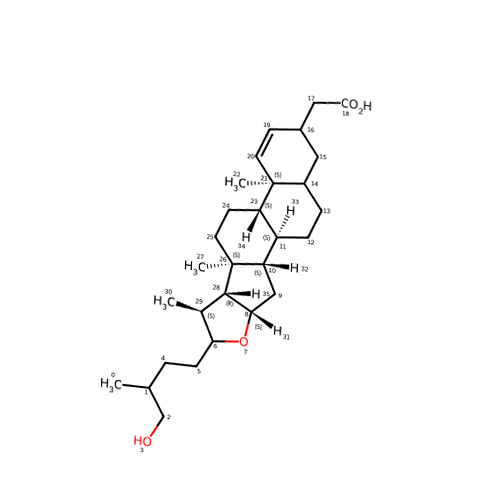 CC(CO)CCC1O[C@H]2C[C@H]3[C@@H]4CCC5CC(CC(=O)O)C=C[C@]5(C)[C@H]4CC[C@]3(C)[C@H]2[C@@H]1C